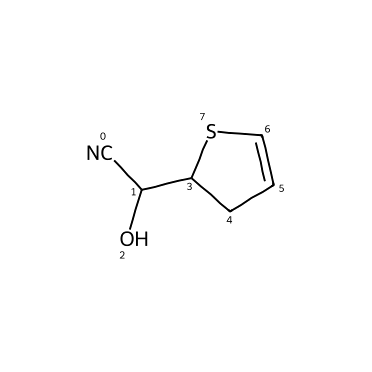 N#CC(O)C1CC=CS1